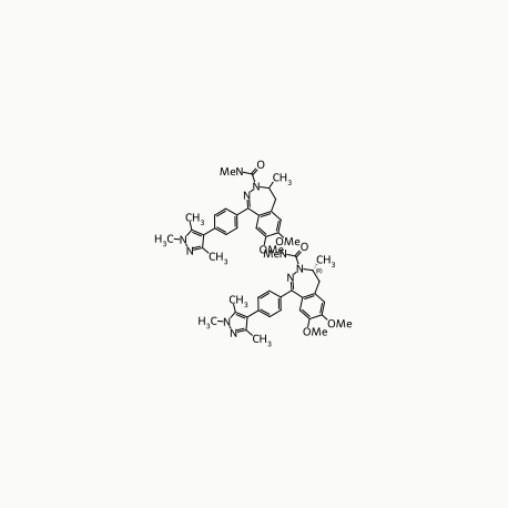 CNC(=O)N1N=C(c2ccc(-c3c(C)nn(C)c3C)cc2)c2cc(OC)c(OC)cc2CC1C.CNC(=O)N1N=C(c2ccc(-c3c(C)nn(C)c3C)cc2)c2cc(OC)c(OC)cc2C[C@H]1C